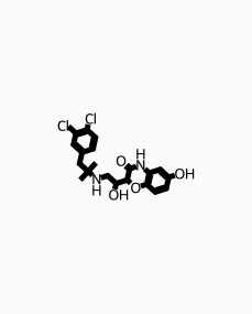 CC(C)(Cc1ccc(Cl)c(Cl)c1)NCC(O)C1Oc2ccc(O)cc2NC1=O